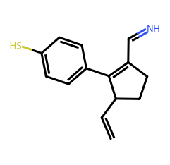 C=CC1CCC(C=N)=C1c1ccc(S)cc1